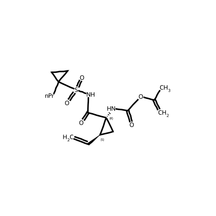 C=C[C@@H]1C[C@]1(NC(=O)OC(=C)C)C(=O)NS(=O)(=O)C1(CCC)CC1